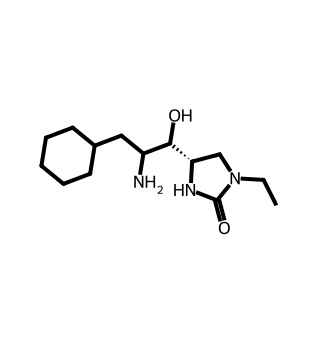 CCN1C[C@@H](C(O)C(N)CC2CCCCC2)NC1=O